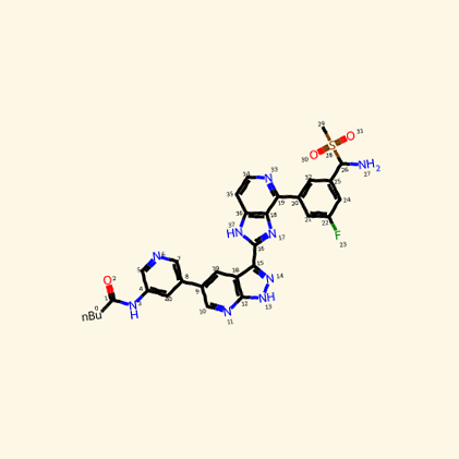 CCCCC(=O)Nc1cncc(-c2cnc3[nH]nc(-c4nc5c(-c6cc(F)cc(C(N)S(C)(=O)=O)c6)nccc5[nH]4)c3c2)c1